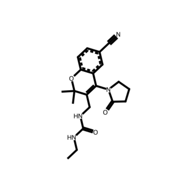 CCNC(=O)NCC1=C(N2CCCC2=O)c2cc(C#N)ccc2OC1(C)C